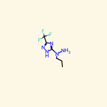 CCCN(N)c1nc(C(F)(F)F)n[nH]1